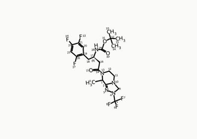 CC1C2=NN(C(F)(F)F)CN2CCN1C(=O)C[C@@H](Cc1cc(F)c(F)cc1F)NC(=O)OC(C)(C)C